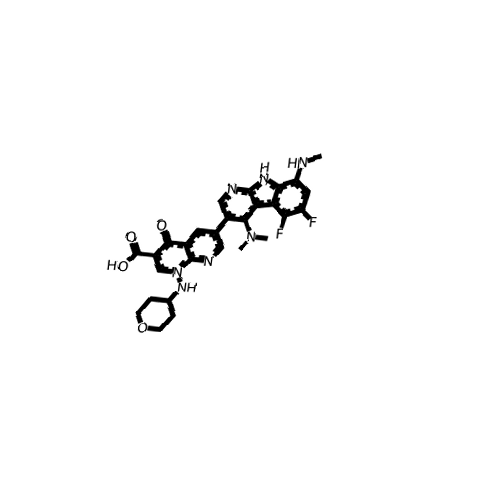 CNc1cc(F)c(F)c2c1[nH]c1ncc(-c3cnc4c(c3)c(=O)c(C(=O)O)cn4NC3CCOCC3)c(N(C)C)c12